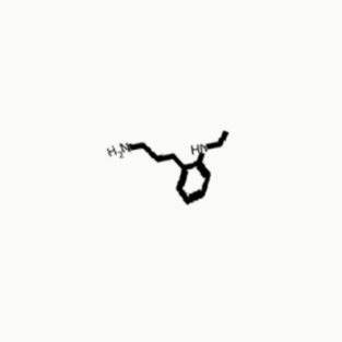 CCNc1ccccc1CCCN